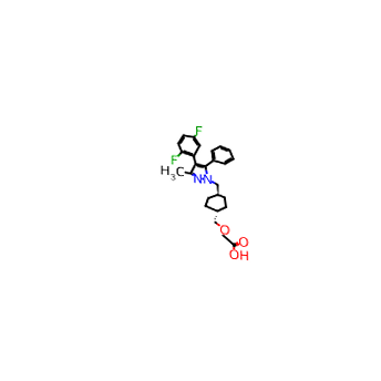 Cc1nn(C[C@H]2CC[C@H](COCC(=O)O)CC2)c(-c2ccccc2)c1-c1cc(F)ccc1F